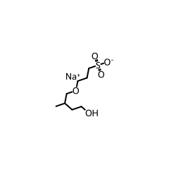 CC(CCO)COCCCS(=O)(=O)[O-].[Na+]